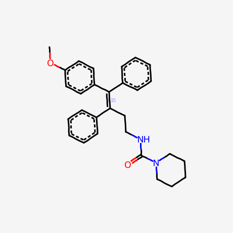 COc1ccc(/C(=C(/CCNC(=O)N2CCCCC2)c2ccccc2)c2ccccc2)cc1